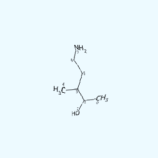 CC(O)C(C)CCN